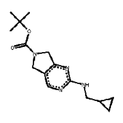 CC(C)(C)OC(=O)N1Cc2cnc(NCC3CC3)nc2C1